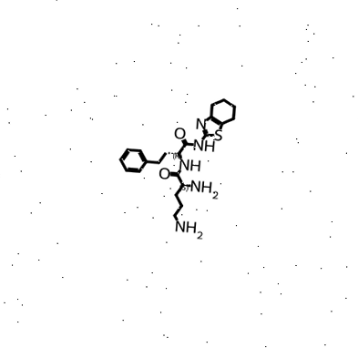 NCCC[C@H](N)C(=O)N[C@H](CCc1ccccc1)C(=O)Nc1nc2c(s1)CCCC2